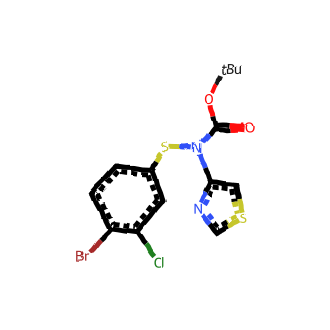 CC(C)(C)OC(=O)N(Sc1ccc(Br)c(Cl)c1)c1cscn1